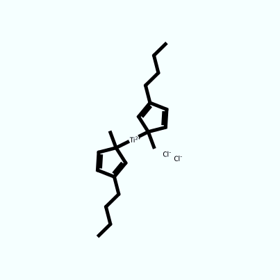 CCCCC1=C[C](C)([Ti+2][C]2(C)C=CC(CCCC)=C2)C=C1.[Cl-].[Cl-]